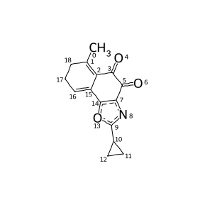 CC1=C2C(=O)C(=O)c3nc(C4CC4)oc3C2=CCC1